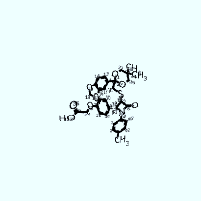 Cc1ccc(N2C(=O)[C@H](SCC3(c4ccc5c(c4)OCO5)OCC(C)(C)CO3)[C@H]2c2ccc(OCC(=O)O)cc2)cc1